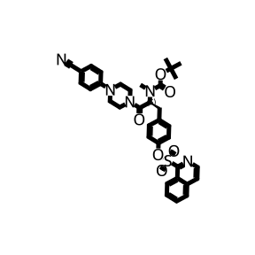 CN(C(=O)OC(C)(C)C)[C@@H](Cc1ccc(OS(=O)(=O)c2nccc3ccccc23)cc1)C(=O)N1CCN(c2ccc(C#N)cc2)CC1